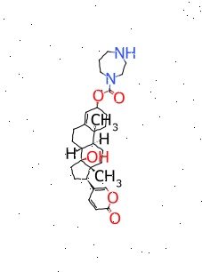 C[C@]12CC[C@H](OC(=O)N3CCCNCC3)C=C1CC[C@@H]1[C@@H]2CC[C@]2(C)[C@@H](c3ccc(=O)oc3)CC[C@]12O